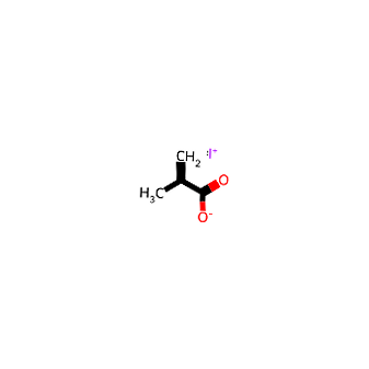 C=C(C)C(=O)[O-].[I+]